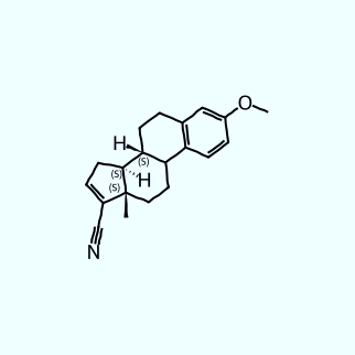 COc1ccc2c(c1)CC[C@@H]1C2CC[C@]2(C)C(C#N)=CC[C@@H]12